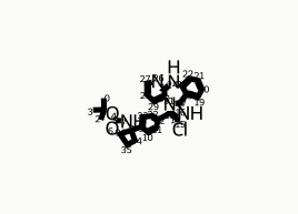 CC(C)(C)OC(=O)NC1(c2ccc(C3=C(Cl)NC4c5ccccc5Nc5ncccc5N34)cc2)CCC1